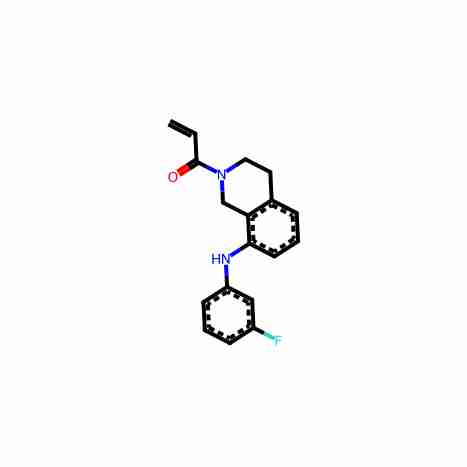 C=CC(=O)N1CCc2cccc(Nc3cccc(F)c3)c2C1